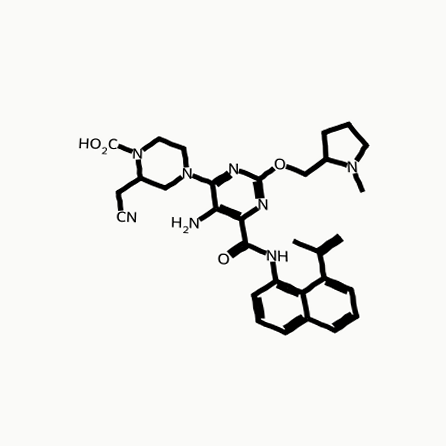 C=C(C)c1cccc2cccc(NC(=O)c3nc(OCC4CCCN4C)nc(N4CCN(C(=O)O)C(CC#N)C4)c3N)c12